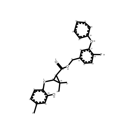 Cc1ccc(OC2C(C(=O)OCc3ccc(F)c(Oc4ccccc4)c3)C2(C)C)c(Cl)c1